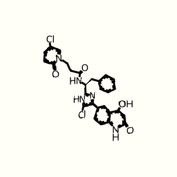 O=C(CCn1cc(Cl)ccc1=O)N[C@@H](Cc1ccccc1)c1nc(-c2ccc3[nH]c(=O)cc(O)c3c2)c(Cl)[nH]1